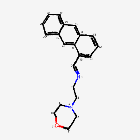 C(=N\CCN1CCOCC1)/c1cccc2cc3ccccc3cc12